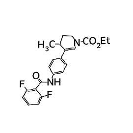 CCOC(=O)N1C=C(c2ccc(NC(=O)c3c(F)cccc3F)cc2)C(C)CC1